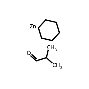 C1CCCCC1.CC(C)C=O.[Zn]